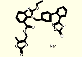 CCOc1nc2cccc(C(=O)OCc3oc(=O)oc3C)c2n1Cc1ccc(-c2ccccc2-c2noc(=O)[n-]2)cc1.[Na+]